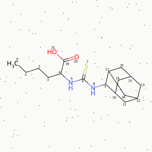 CCCCC(NC(=S)NC1C2CC3CC(C2)CC1C3)C(=O)O